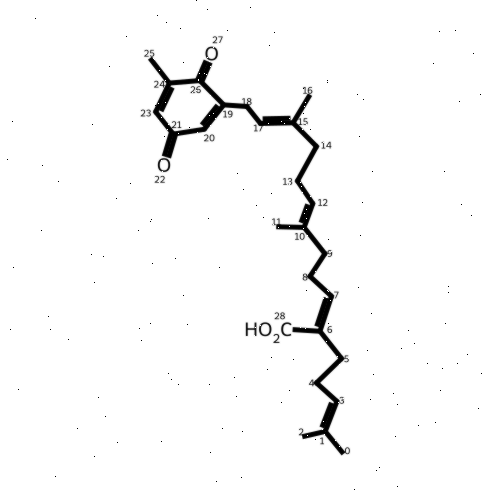 CC(C)=CCC/C(=C/CC/C(C)=C/CC/C(C)=C/CC1=CC(=O)C=C(C)C1=O)C(=O)O